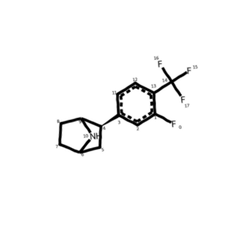 Fc1cc([C@H]2CC3CCC2N3)ccc1C(F)(F)F